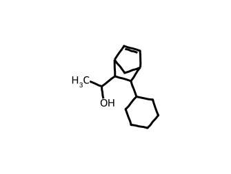 CC(O)C1C2C=CC(C2)C1C1CCCCC1